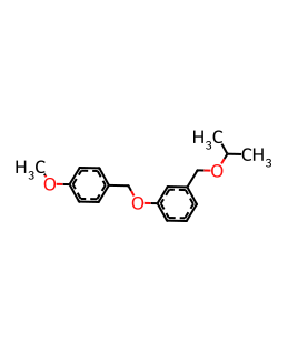 COc1ccc(COc2cccc(COC(C)C)c2)cc1